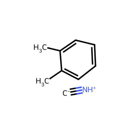 Cc1ccccc1C.[C-]#[NH+]